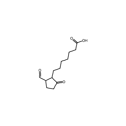 O=CC1CCC(=O)C1CCCCCCC(=O)O